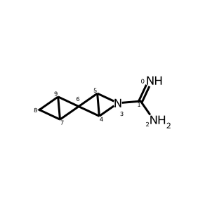 N=C(N)N1C2C1C21C2CC21